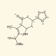 CC1=C(C(=O)OCC(C)C)NC2CC(c3ccco3)CC(=O)C12